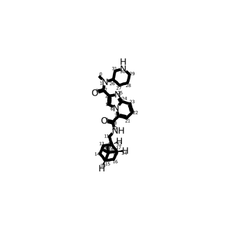 CN(C(=O)c1cn2c(C(=O)NC[C@@H]3CC[C@H]4C[C@@H]3C4(C)C)cccc2n1)C1CCCNC1